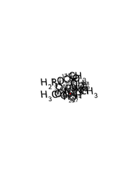 COc1cc(P)c(O[C@H]2CC[C@@](C)(C(=O)O)CC2)cc1C(=O)N(C)[C@@H]1[C@H]2CC[C@H](C2)[C@@H]1C(=O)NCC1(C)CCC1